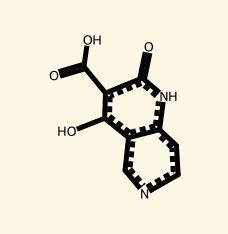 O=C(O)c1c(O)c2cnccc2[nH]c1=O